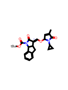 CC1=CC(O/C=C2/C(=O)N(C(=O)OC(C)(C)C)C3c4ccccc4CC23)N(C2CC2)C1=O